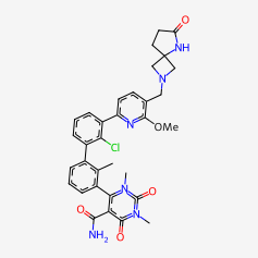 COc1nc(-c2cccc(-c3cccc(-c4c(C(N)=O)c(=O)n(C)c(=O)n4C)c3C)c2Cl)ccc1CN1CC2(CCC(=O)N2)C1